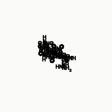 CCNC(=O)[C@@H]1CCCN1C(=O)[C@H](CCCNC(=N)N)NC(=O)[C@H](Cc1c[nH]c2ccccc12)NC(=O)[C@@H](Cc1c[nH]c2ccccc12)NC(=O)[C@H](Cc1ccc(O)cc1)NC(=O)[C@H](CO)NC(=O)[C@H](Cc1c[nH]c2ccccc12)NC(=O)[C@H](Cc1c[nH]cn1)NC(=O)[C@@H]1CCC(=O)N1